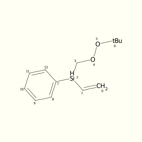 C=C[SiH](COOC(C)(C)C)c1ccccc1